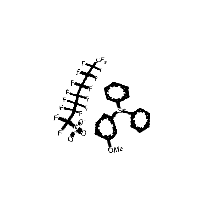 COc1cccc([S+](c2ccccc2)c2ccccc2)c1.O=S(=O)([O-])C(F)(F)C(F)(F)C(F)(F)C(F)(F)C(F)(F)C(F)(F)C(F)(F)C(F)(F)F